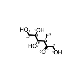 O=C(CO)[C@@H](F)[C@H](O)[C@H](O)CO